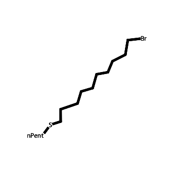 CCCCCSCCCCCCCCCCBr